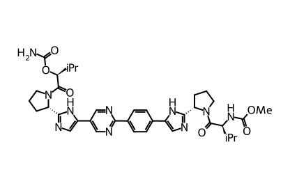 COC(=O)N[C@H](C(=O)N1CCC[C@H]1c1ncc(-c2ccc(-c3ncc(-c4cnc([C@@H]5CCCN5C(=O)[C@@H](OC(N)=O)C(C)C)[nH]4)cn3)cc2)[nH]1)C(C)C